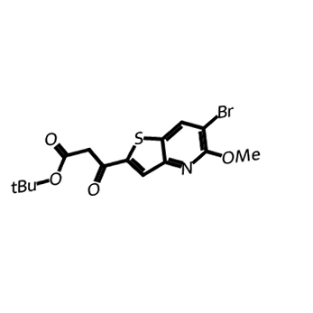 COc1nc2cc(C(=O)CC(=O)OC(C)(C)C)sc2cc1Br